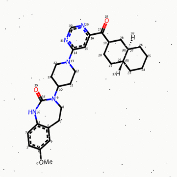 COc1ccc2c(c1)CCN(C1CCN(c3cc(C(=O)C4CC[C@H]5CCCC[C@@H]5C4)ncn3)CC1)C(=O)N2